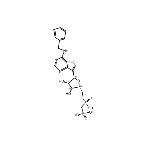 O=P(O)(O)CP(=O)(O)OC[C@H]1O[C@H](c2coc3c(NCc4ccccc4)ncnc23)[C@H](O)[C@@H]1O